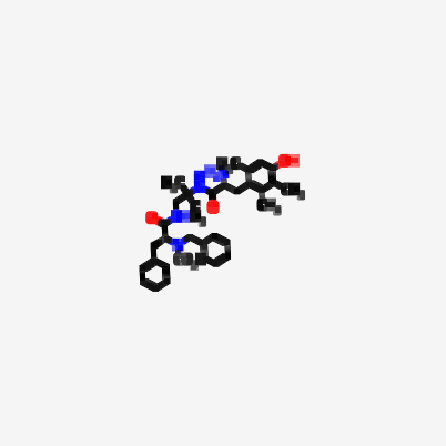 Cc1cc(O)c(C)c(C)c1CC(N)C(=O)NC(C)(C)CNC(=O)[C@H](Cc1ccccc1)N(Cc1ccccc1)C(=O)O